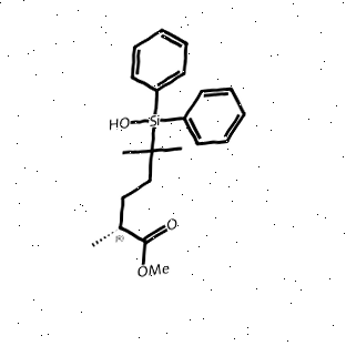 COC(=O)[C@H](C)CCC(C)(C)[Si](O)(c1ccccc1)c1ccccc1